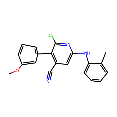 COc1cccc(-c2c(C#N)cc(Nc3ccccc3C)nc2Cl)c1